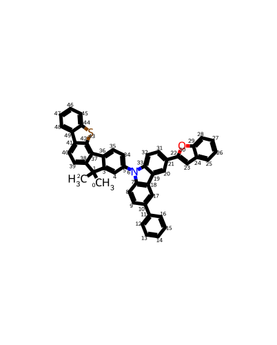 CC1(C)c2cc(-n3c4ccc(-c5ccccc5)cc4c4cc(-c5cc6ccccc6o5)ccc43)ccc2-c2c1ccc1c2sc2ccccc21